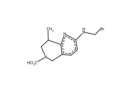 CC(C)CNc1ccc2c(n1)C(C)CN(C(=O)O)C2